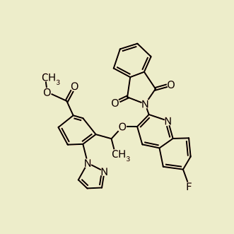 COC(=O)c1ccc(-n2cccn2)c(C(C)Oc2cc3cc(F)ccc3nc2N2C(=O)c3ccccc3C2=O)c1